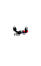 O=Cc1ccccc1NC(=O)/C=C/c1ccc(OCCN2CCOCC2)c(O)c1